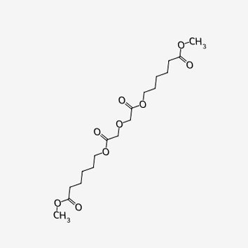 COC(=O)CCCCCOC(=O)COCC(=O)OCCCCCC(=O)OC